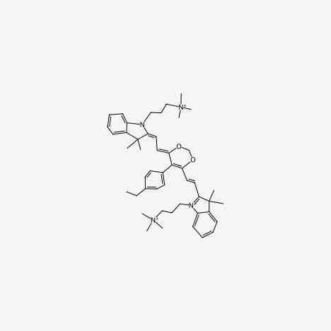 CCc1ccc(C2=C(/C=C/C3=[N+](CCC[N+](C)(C)C)c4ccccc4C3(C)C)OCO/C2=C\C=C2\N(CCC[N+](C)(C)C)c3ccccc3C2(C)C)cc1